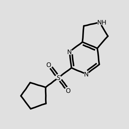 O=S(=O)(c1ncc2c(n1)CNC2)C1CCCC1